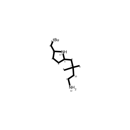 CC(C)(C)CC1CCC(CC(C)(C)CCN)N1